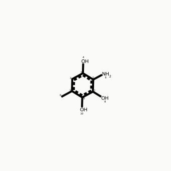 Cc1cc(O)c(N)c(O)c1O